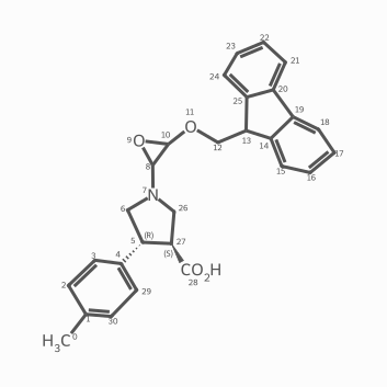 Cc1ccc([C@@H]2CN(C3OC3OCC3c4ccccc4-c4ccccc43)C[C@H]2C(=O)O)cc1